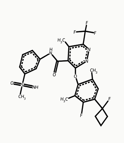 Cc1cc(C2(F)CCC2)c(F)c(C)c1Oc1nnc(C(F)(F)F)c(C)c1C(=O)Nc1cccc(S(C)(=N)=O)c1